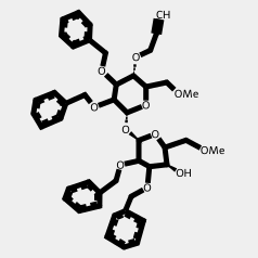 C#CCO[C@@H]1C(COC)O[C@H](O[C@H]2OC(COC)[C@@H](O)C(OCc3ccccc3)C2OCc2ccccc2)C(OCc2ccccc2)C1OCc1ccccc1